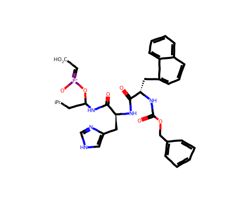 CC(C)CC(NC(=O)[C@H](Cc1c[nH]cn1)NC(=O)[C@H](Cc1cccc2ccccc12)NC(=O)OCc1ccccc1)O/[P+]([O-])=C/C(=O)O